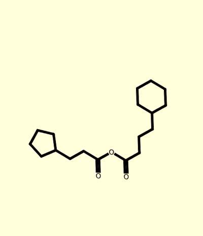 O=C(CCCC1CCCCC1)OC(=O)CCC1CCCC1